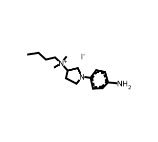 CCCC[N+](C)(C)C1CCN(c2ccc(N)cc2)C1.[I-]